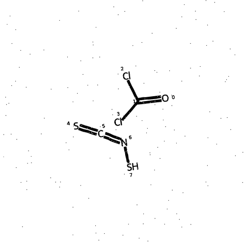 O=C(Cl)Cl.S=C=NS